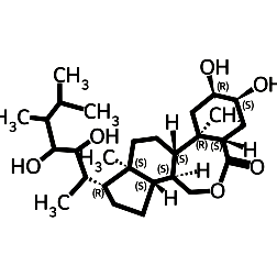 CC(C)C(C)C(O)C(O)C(C)[C@H]1CC[C@H]2[C@@H]3COC(=O)[C@H]4C[C@H](O)[C@H](O)C[C@]4(C)[C@H]3CC[C@]12C